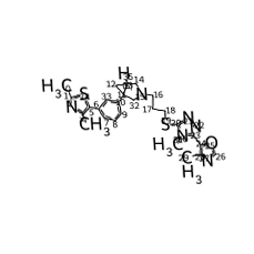 Cc1nc(C)c(-c2cccc(C34C[C@@H]3CN(CCCSc3nnc(-c5ocnc5C)n3C)C4)c2)s1